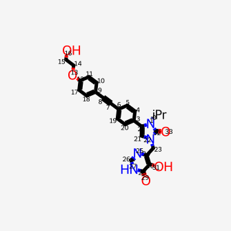 CC(C)n1c(-c2ccc(C#Cc3ccc(OCCO)cc3)cc2)cn(Cc2nc[nH]c(=O)c2O)c1=O